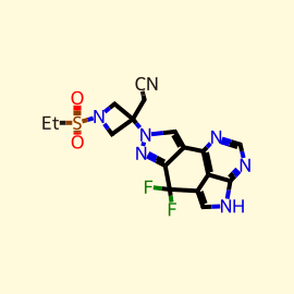 CCS(=O)(=O)N1CC(CC#N)(n2cc3c(n2)C(F)(F)c2c[nH]c4ncnc-3c24)C1